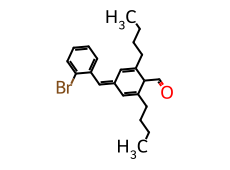 CCCCC1=CC(=Cc2ccccc2Br)C=C(CCCC)C1C=O